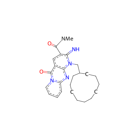 CNC(=O)c1cc2c(=O)n3ccccc3nc2n(CC2CCCCCCCCCC2)c1=N